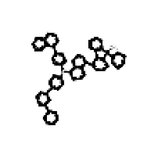 CC1(c2ccccc2)c2ccccc2-c2c(-c3cccc4c(N(c5ccc(-c6cccc(-c7ccccc7)c6)cc5)c5ccc(-c6cccc7ccccc67)cc5)cccc34)cccc21